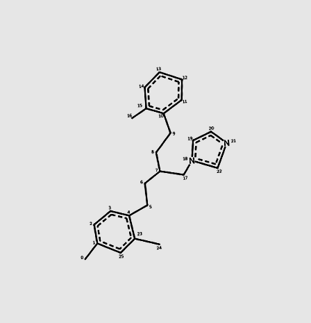 Cc1ccc(CCC(CCc2ccccc2C)Cn2ccnc2)c(C)c1